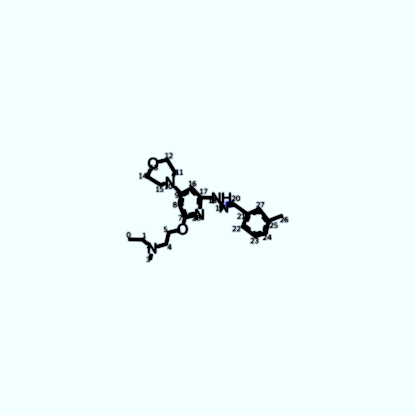 CCN(C)CCOc1cc(N2CCOCC2)cc(N/N=C/c2cccc(C)c2)n1